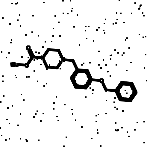 CC(C)(C)OC(=O)N1CCN(Cc2cccc(OCc3ccccc3)c2)CC1